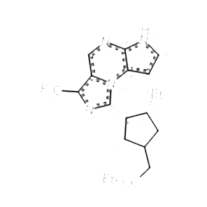 CCOC(=O)CC1C[C@@H](CC)[C@@H](c2nc(C(F)(F)F)c3cnc4[nH]ccc4n23)C1